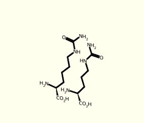 NC(=O)NCCCC[C@H](N)C(=O)O.NC(=O)NCCC[C@H](N)C(=O)O